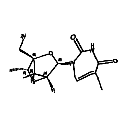 [2H]C[C@]12O[C@@H](n3cc(C)c(=O)[nH]c3=O)[C@H](S[C@@H]1C)[C@@H]2C